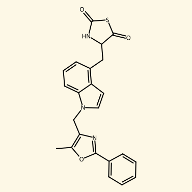 Cc1oc(-c2ccccc2)nc1Cn1ccc2c(CC3NC(=O)SC3=O)cccc21